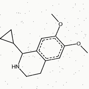 COc1cc2c(cc1OC)C(C1CC1)NCC2